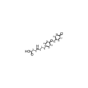 O=C(O)CCNCCCc1ccc(OCc2ccc(Cl)cc2)cc1